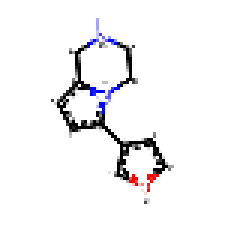 c1cc(-c2ccc3n2CCNC3)co1